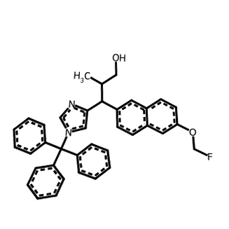 CC(CO)C(c1ccc2cc(OCF)ccc2c1)c1cn(C(c2ccccc2)(c2ccccc2)c2ccccc2)cn1